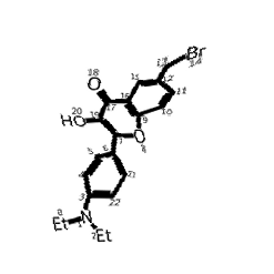 CCN(CC)c1ccc(-c2oc3ccc(CBr)cc3c(=O)c2O)cc1